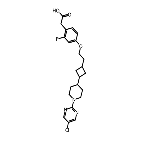 O=C(O)Cc1ccc(OCCC2CC(C3CCN(c4ncc(Cl)cn4)CC3)C2)cc1F